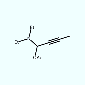 CC#CC(OC(C)=O)N(CC)CC